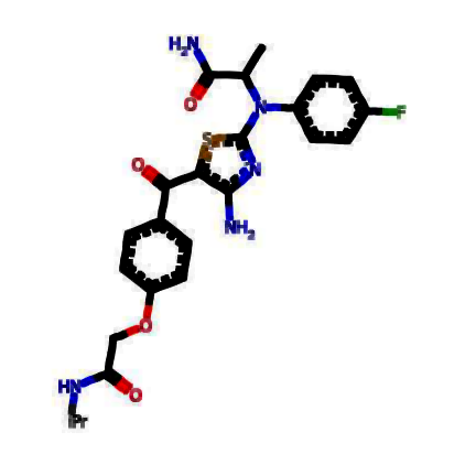 CC(C)NC(=O)COc1ccc(C(=O)c2sc(N(c3ccc(F)cc3)C(C)C(N)=O)nc2N)cc1